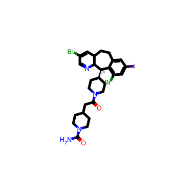 NC(=O)N1CCC(CC(=O)N2CCC([C@@H]3c4c(Br)cc(I)cc4CCC4C=C(Br)C=NC43)CC2)CC1